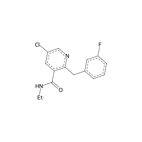 C[CH]NC(=O)c1cc(Cl)cnc1Cc1cccc(F)c1